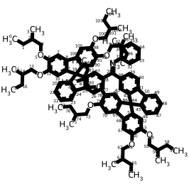 CCC(C)COc1cc2c(cc1OCC(C)CC)C1(c3ccccc3-c3ccc(C(=Nc4ccccc4C)c4ccc5c(c4)C4(c6ccccc6-5)c5cc(OCC(C)CC)c(OCC(C)CC)cc5-c5cc(OCC(C)CC)c(OCC(C)CC)cc54)cc31)c1cc(OCC(C)CC)c(OCC(C)CC)cc1-2